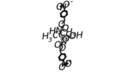 CC(C)(C[C@@H]1C[C@@H](O)CN1C(=O)OCc1ccc([N+](=O)[O-])cc1)NC(=O)OCc1ccc([N+](=O)[O-])cc1